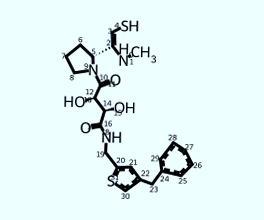 CN/C(=C\S)[C@H]1CCCN1C(=O)[C@H](O)[C@@H](O)C(=O)NCc1cc(Cc2ccccc2)cs1